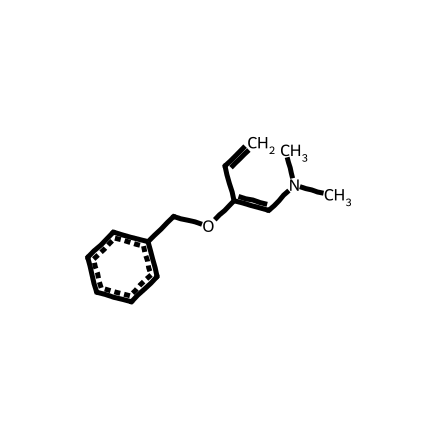 C=C/C(=C\N(C)C)OCc1ccccc1